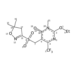 CCOc1nc(C(F)(F)F)c(CS(=O)(=O)C2=NOC(C)(C)C2)c(=O)n1C